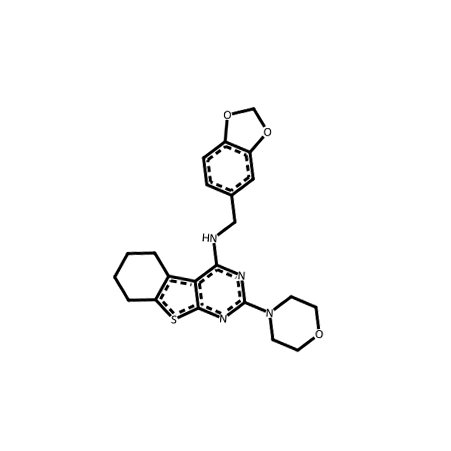 c1cc2c(cc1CNc1nc(N3CCOCC3)nc3sc4c(c13)CCCC4)OCO2